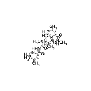 CNC(=O)[C@@H](CC(C)C)N(C)C(=O)[C@@H](C)N[C@@H](C)C(=O)NC(=O)[C@H](CC(C)C)NC